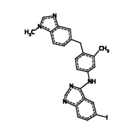 Cc1cc(Nc2ncnc3ccc(I)cc23)ccc1Cc1ccc2c(c1)ncn2C